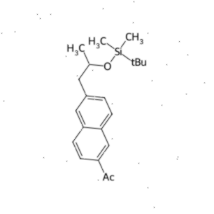 CC(=O)c1ccc2cc(CC(C)O[Si](C)(C)C(C)(C)C)ccc2c1